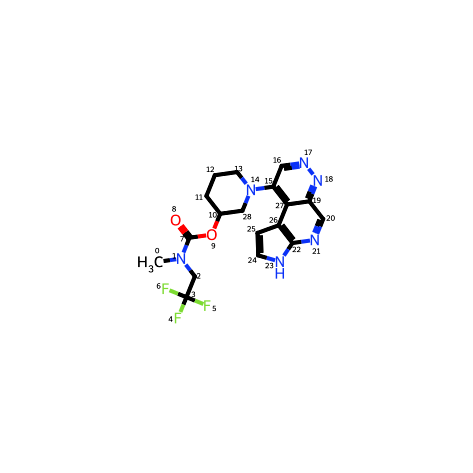 CN(CC(F)(F)F)C(=O)OC1CCCN(c2cnnc3cnc4[nH]ccc4c23)C1